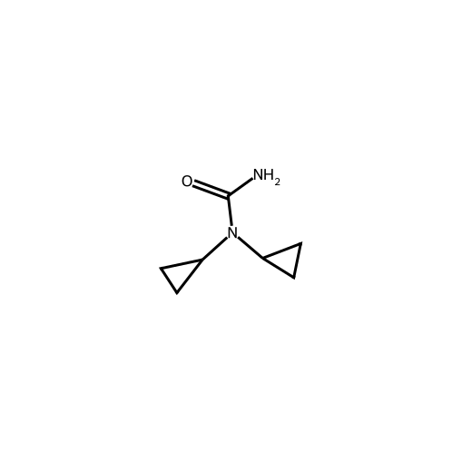 NC(=O)N(C1CC1)C1CC1